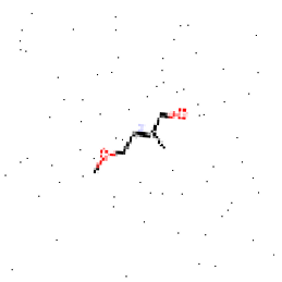 COC/C=C(\C)C=O